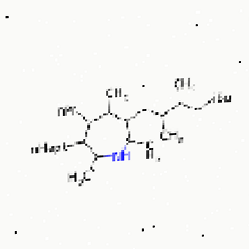 CCCCCCCC1C(C)NC(C)C(CC(C)C(C)CC(C)CC)C(C)C1CCC